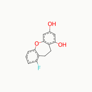 Oc1cc(O)c2c(c1)Oc1cccc(F)c1CC2